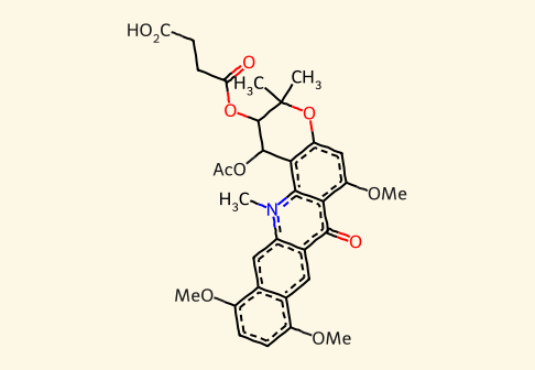 COc1ccc(OC)c2cc3c(cc12)c(=O)c1c(OC)cc2c(c1n3C)C(OC(C)=O)C(OC(=O)CCC(=O)O)C(C)(C)O2